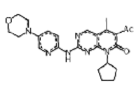 CC(=O)c1c(C)c2cnc(Nc3ccc(N4CCOCC4)cn3)nc2n(C2CCCC2)c1=O